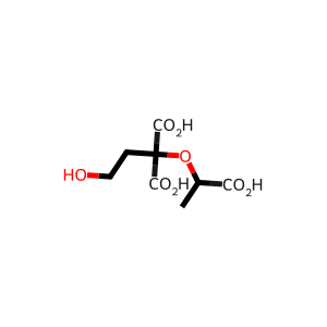 CC(OC(CCO)(C(=O)O)C(=O)O)C(=O)O